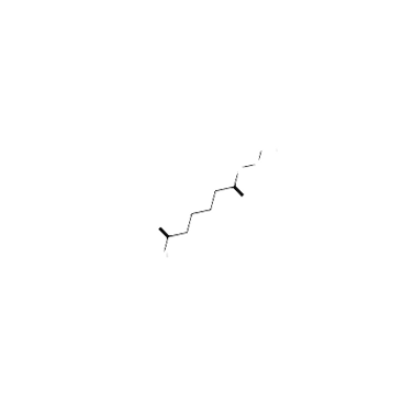 COOC(=O)CCCCC(=O)O